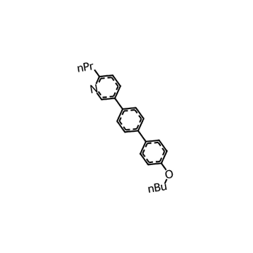 CCCCOc1ccc(-c2ccc(-c3ccc(CCC)nc3)cc2)cc1